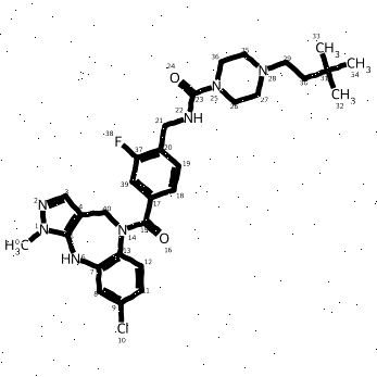 Cn1ncc2c1Nc1cc(Cl)ccc1N(C(=O)c1ccc(CNC(=O)N3CCN(CCC(C)(C)C)CC3)c(F)c1)C2